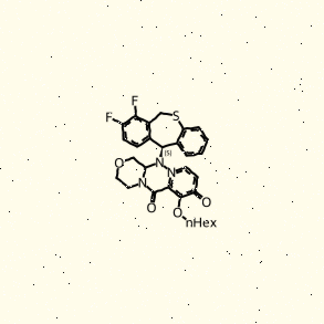 CCCCCCOc1c2n(ccc1=O)N([C@@H]1c3ccccc3SCc3c1ccc(F)c3F)C1COCCN1C2=O